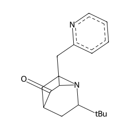 CC(C)(C)C1CC2CCN1C(Cc1ccccn1)C2=O